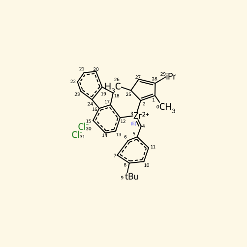 CC1=[C](/[Zr+2](=[CH]/c2ccc(C(C)(C)C)cc2)[c]2cccc3c2Cc2ccccc2-3)C(C)C=C1C(C)C.[Cl-].[Cl-]